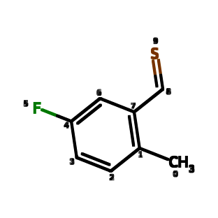 Cc1ccc(F)cc1C=S